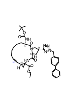 CCOC(=O)[C@@]12C[C@H]1/C=C\CCCCC[C@H](NC(=O)OC(C)(C)C)C(=O)N1C[C@H](c3nnn(Cc4ccc(-c5ccccc5)cc4)n3)C[C@H]1C(=O)N2